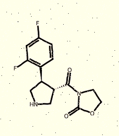 O=C1OCCN1C(=O)[C@@H]1CNC[C@H]1c1ccc(F)cc1F